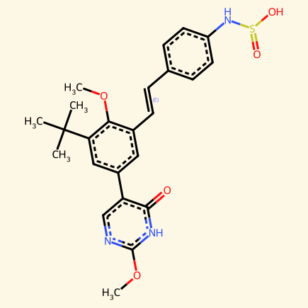 COc1ncc(-c2cc(/C=C/c3ccc(NS(=O)O)cc3)c(OC)c(C(C)(C)C)c2)c(=O)[nH]1